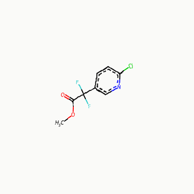 COC(=O)C(F)(F)c1ccc(Cl)nc1